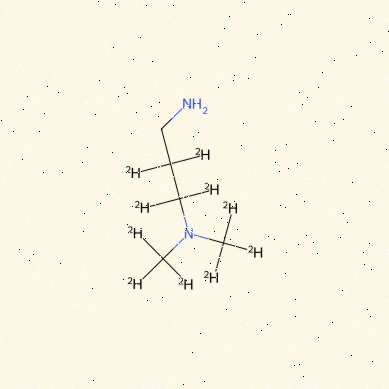 [2H]C([2H])([2H])N(C([2H])([2H])[2H])C([2H])([2H])C([2H])([2H])CN